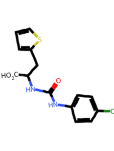 O=C(Nc1ccc(Cl)cc1)NC(Cc1cccs1)C(=O)O